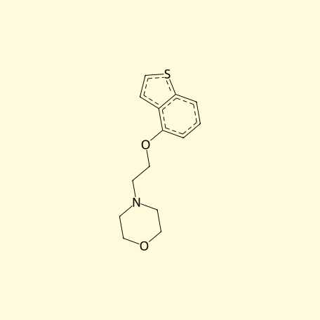 c1cc(OCCN2CCOCC2)c2ccsc2c1